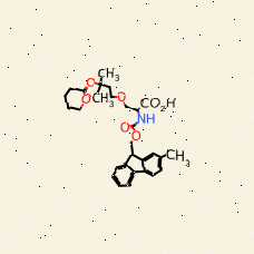 Cc1ccc2c(c1)C(COC(=O)N[C@@H](COCCC(C)(C)OC1CCCCO1)C(=O)O)c1ccccc1-2